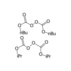 CC(C)OC(=O)OOC(=O)OC(C)C.CCCCOC(=O)OOC(=O)OCCCC